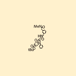 CNC(=O)Cc1cccc(CNC(=O)CN2CN(c3ccccc3)C3(CCN(C(=O)OC(C)(C)C)CC3)C2=O)c1